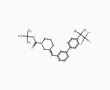 CC(C)(C)OC(=O)N1CCC/C(=C\c2cccc(-c3ccc(C(C)(O)C(F)(F)F)cc3)c2)C1